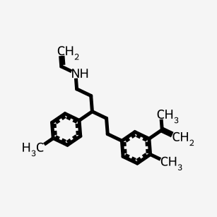 C=CNCCC(CCc1ccc(C)c(C(=C)C)c1)c1ccc(C)cc1